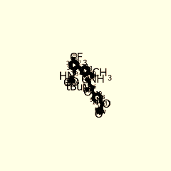 C[C@@H](NC(=O)c1cc(C2CCN(C(=O)C3COC3)CC2)on1)c1ccc(-c2cc(C(F)(F)F)ccc2CNC(=O)OC(C)(C)C)cc1